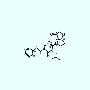 CC(C)C[C@H](NC(=O)CCc1ccccc1)C(=O)N1CCC2OCC(=O)C21